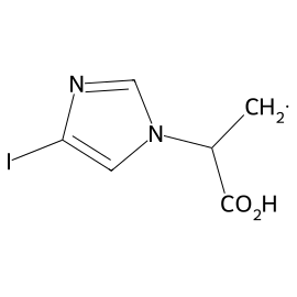 [CH2]C(C(=O)O)n1cnc(I)c1